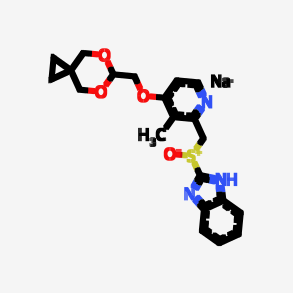 Cc1c(OCC2OCC3(CC3)CO2)ccnc1C[S+]([O-])c1nc2ccccc2[nH]1.[Na]